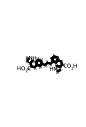 O=C(O)[C@@H](Cc1cccc(CCCc2cccc(C[C@H](C(=O)O)[C@H]3CCNC3)c2)c1)[C@H]1CCNC1